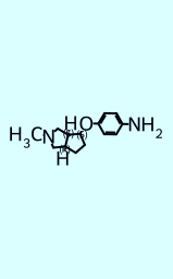 CN1C[C@@H]2CC[C@H](Oc3ccc(N)cc3)[C@@H]2C1